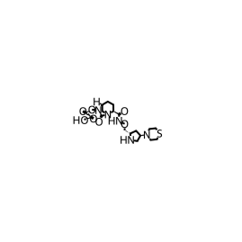 O=C(NOC[C@@H]1C[C@@H](N2CCSCC2)CN1)[C@@H]1CC[C@@H]2CN1C(=O)N2OS(=O)(=O)O